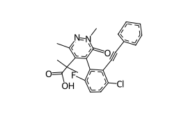 Cc1nn(C)c(=O)c(-c2c(F)ccc(Cl)c2C#Cc2ccccc2)c1C(C)(C)C(=O)O